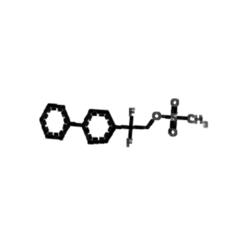 CS(=O)(=O)OCC(F)(F)c1ccc(-c2ccccc2)cc1